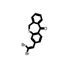 O=C1c2ccccc2CSc2cc(C=C(Br)Br)ccc21